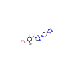 CCOc1cc(C)c(Nc2ccnc(N3CCC(n4ccnc4C)CC3)n2)cc1C(C)C